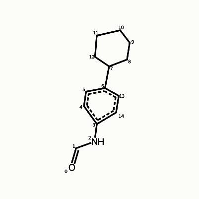 O=CNc1ccc(C2CCCCC2)cc1